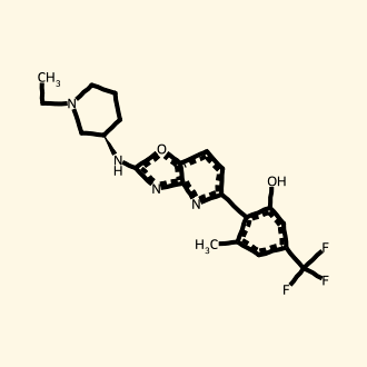 CCN1CCC[C@@H](Nc2nc3nc(-c4c(C)cc(C(F)(F)F)cc4O)ccc3o2)C1